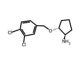 N[C@@H]1CCC[C@H]1OCc1ccc(Cl)c(Cl)c1